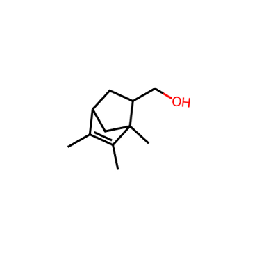 CC1=C(C)C2(C)CC1CC2CO